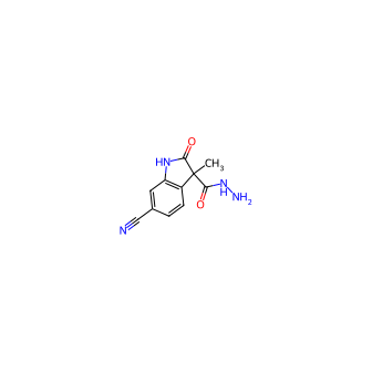 CC1(C(=O)NN)C(=O)Nc2cc(C#N)ccc21